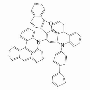 c1ccc(-c2ccc(N(c3cc(N(c4ccccc4)c4ccccc4-c4cccc5ccccc45)c4c(c3)oc3c5ccccc5ccc34)c3ccccc3-c3ccccc3)cc2)cc1